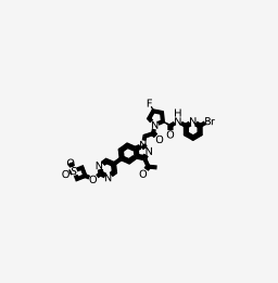 CC(=O)c1nn(CC(=O)N2C[C@H](F)C[C@H]2C(=O)Nc2cccc(Br)n2)c2ccc(-c3cnc(OC4CS(=O)(=O)C4)nc3)cc12